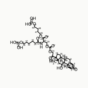 C[C@]12C=CC(=O)C=C1CC[C@@H]1[C@@H]2[C@@H](O)C[C@@]2(C)[C@H]1CC[C@]2(O)C(=O)COC(=O)OCC(NC(=O)CCCCCON(O)O)C(=O)OCCCCON(O)O